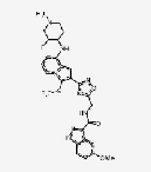 COc1ccc2[nH]nc(C(=O)NCc3nc(-c4cc5c(N[C@@H]6CCN(C)C[C@@H]6F)cccn5c4SC(F)(F)F)no3)c2c1